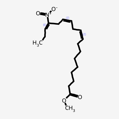 CC/C=C(\C/C=C\C/C=C\CCCCCCCC(=O)OC)[N+](=O)[O-]